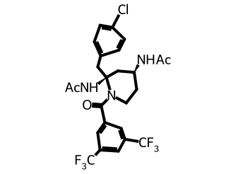 CC(=O)N[C@H]1CCN(C(=O)c2cc(C(F)(F)F)cc(C(F)(F)F)c2)[C@@](Cc2ccc(Cl)cc2)(NC(C)=O)C1